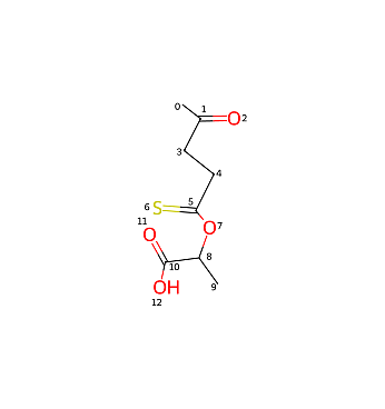 CC(=O)CCC(=S)OC(C)C(=O)O